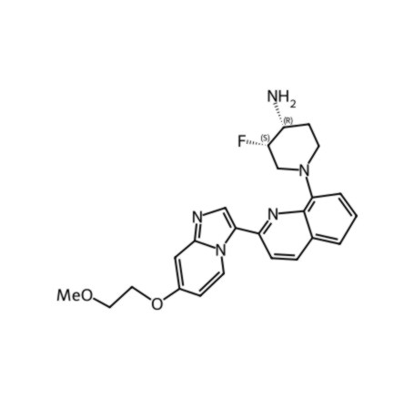 COCCOc1ccn2c(-c3ccc4cccc(N5CC[C@@H](N)[C@@H](F)C5)c4n3)cnc2c1